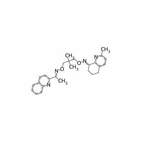 C/C(=N\OCC(C)(C)CO/N=C1\CCCc2ccc(C)nc21)c1ccc2ccccc2n1